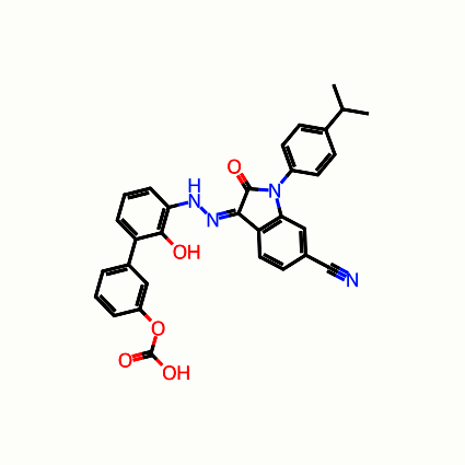 CC(C)c1ccc(N2C(=O)C(=NNc3cccc(-c4cccc(OC(=O)O)c4)c3O)c3ccc(C#N)cc32)cc1